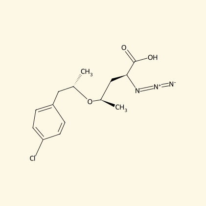 C[C@H](C[C@H](N=[N+]=[N-])C(=O)O)O[C@@H](C)Cc1ccc(Cl)cc1